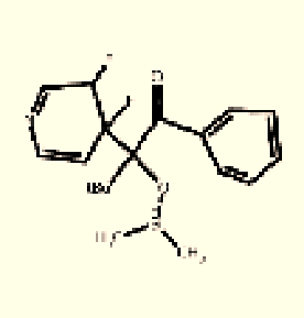 C[SiH](C)OC(C(=O)c1ccccc1)(C(C)(C)C)C1(F)C=CN=CC1F